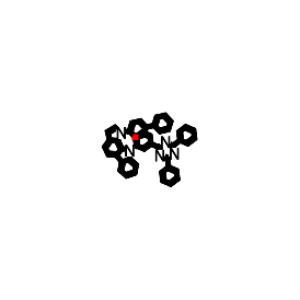 c1ccc(-c2ccc(-n3ccc4ccc5c6ccccc6n(-c6cccc(-c7nc(-c8ccccc8)nc(-c8ccccc8)n7)c6)c5c43)cc2)cc1